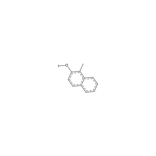 Cc1c(OI)ccc2ccccc12